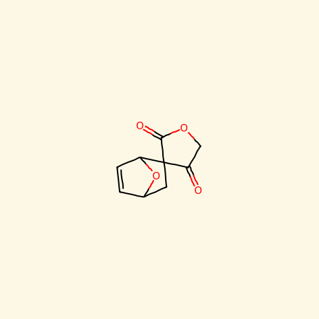 O=C1COC(=O)C12CC1C=CC2O1